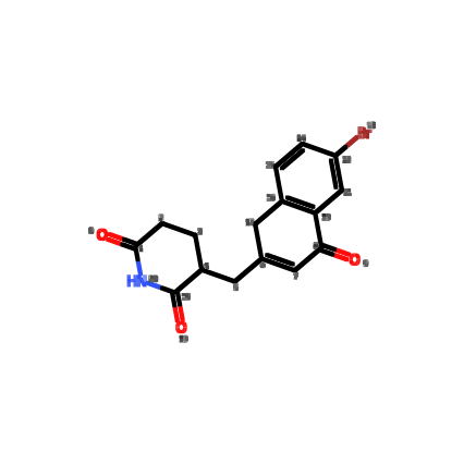 O=C1CCC(CC2=CC(=O)c3cc(Br)ccc3C2)C(=O)N1